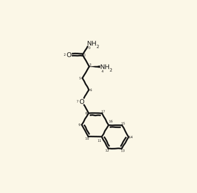 NC(=O)[C@@H](N)CCOc1ccc2ccccc2c1